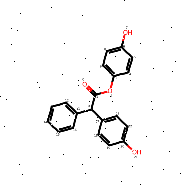 O=C(Oc1ccc(O)cc1)C(c1ccccc1)c1ccc(O)cc1